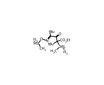 CCOC(=O)C(C(=O)C(=NO[SiH](C)C)C(C)(C)C)([SiH](C)C)C(C)(C)C